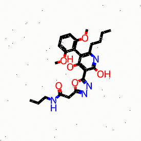 CCCCc1nc(O)c(-c2nnc(CC(=O)NCCC)o2)c(O)c1-c1c(OC)cccc1OC